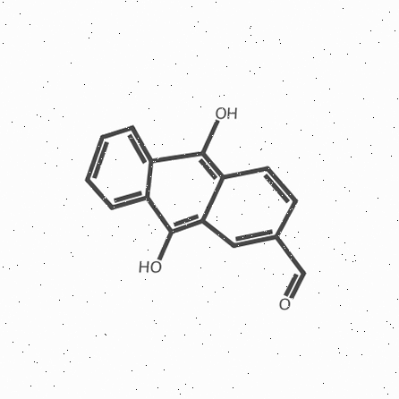 O=Cc1ccc2c(O)c3ccccc3c(O)c2c1